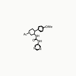 COc1ccc(C2CCN(C(C)=O)CC2NC(=O)Nc2cncnc2)cc1